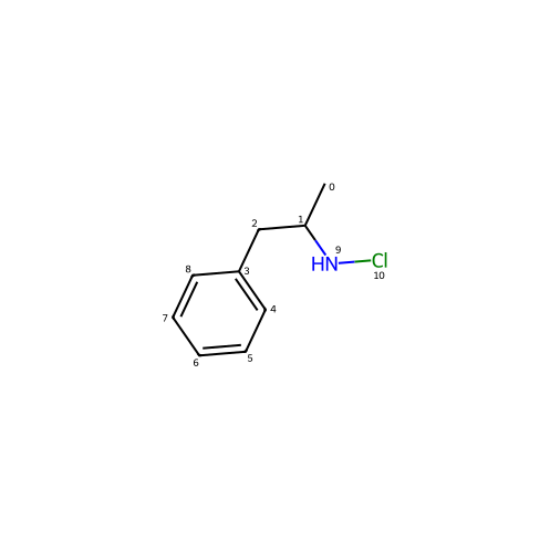 CC(Cc1ccccc1)NCl